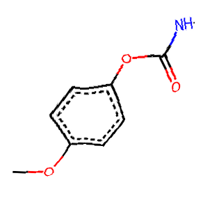 COc1ccc(OC([NH])=O)cc1